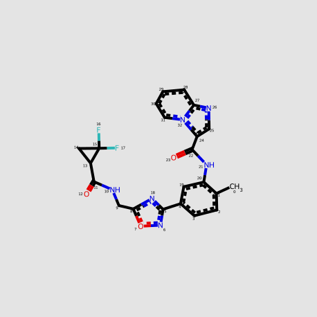 Cc1ccc(-c2noc(CNC(=O)C3CC3(F)F)n2)cc1NC(=O)c1cnc2ccccn12